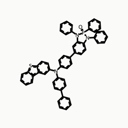 O=P1(c2ccccc2)N(c2ccccc2)c2ccc(-c3ccc(N(c4ccc(-c5ccccc5)cc4)c4ccc5sc6ccccc6c5c4)cc3)cc2N1c1ccccc1